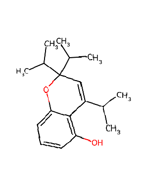 CC(C)C1=CC(C(C)C)(C(C)C)Oc2cccc(O)c21